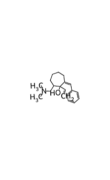 C=CC1(O)/C(=C\c2ccccc2)CCCCC1CN(C)C